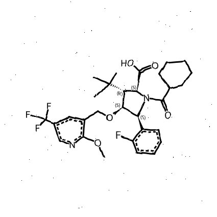 COc1ncc(C(F)(F)F)cc1CO[C@H]1[C@H](C(C)(C)C)[C@@H](C(=O)O)N(C(=O)C2CCCCC2)[C@H]1c1ccccc1F